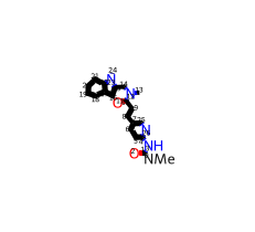 CNC(=O)Nc1ccc(C=CC(=O)N(C)Cc2cc3ccccc3n2C)cn1